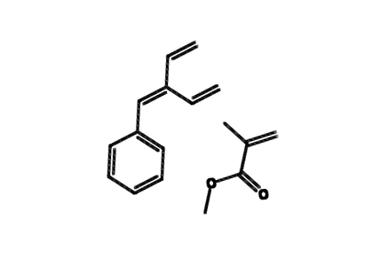 C=C(C)C(=O)OC.C=CC(C=C)=Cc1ccccc1